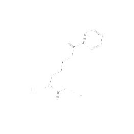 CN(CCCOC(=O)c1ccccc1)C(=O)OC(C)(C)C